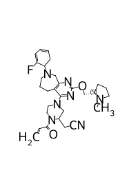 C=CC(=O)N1CCN(c2nc(OC[C@@H]3CCCN3C)nc3c2CCCN(C2CC=CC=C2F)C3)CC1CC#N